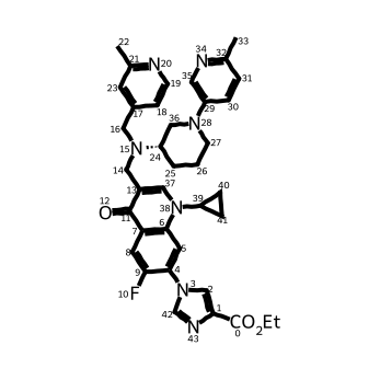 CCOC(=O)c1cn(-c2cc3c(cc2F)c(=O)c(CN(Cc2ccnc(C)c2)[C@H]2CCCN(c4ccc(C)nc4)C2)cn3C2CC2)cn1